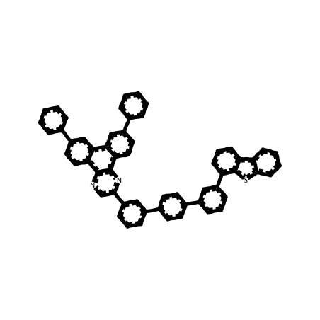 c1ccc(-c2ccc3c(c2)c2cc(-c4ccccc4)ccc2c2nc(-c4cccc(-c5ccc(-c6cccc(-c7cccc8c7sc7ccccc78)c6)cc5)c4)cnc32)cc1